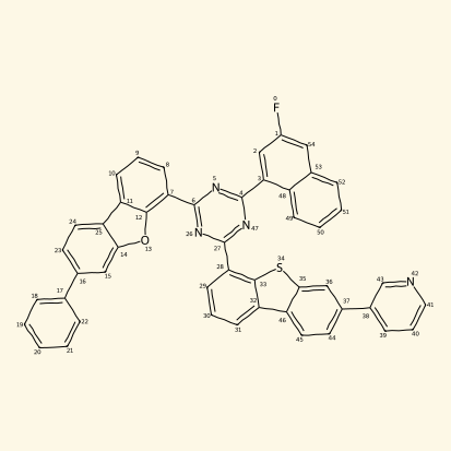 Fc1cc(-c2nc(-c3cccc4c3oc3cc(-c5ccccc5)ccc34)nc(-c3cccc4c3sc3cc(-c5cccnc5)ccc34)n2)c2ccccc2c1